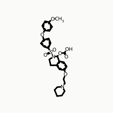 COc1ccc(Oc2ccc(S(=O)(=O)N3CCc4cc(OCCN5CCCCC5)ccc4C3OC(=O)O)cc2)cc1